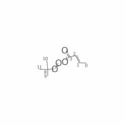 CC=CC(=O)OOOC(C)(C)C